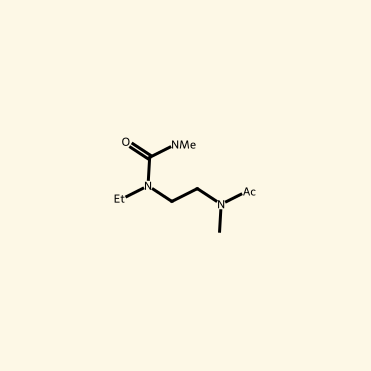 CCN(CCN(C)C(C)=O)C(=O)NC